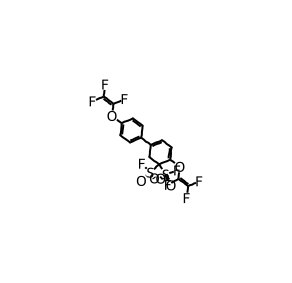 O=S(=O)(F)C1(S(=O)(=O)F)CC(c2ccc(OC(F)=C(F)F)cc2)=CC=C1OC(F)=C(F)F